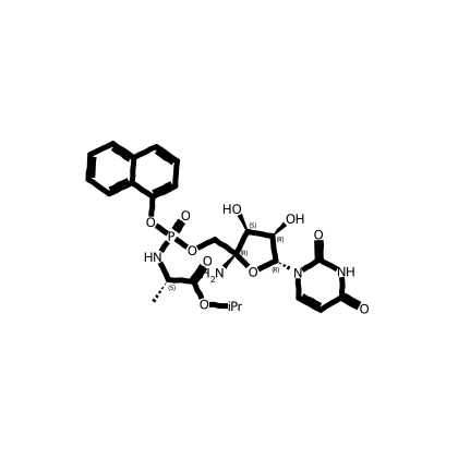 CC(C)OC(=O)[C@H](C)NP(=O)(OC[C@@]1(N)O[C@@H](n2ccc(=O)[nH]c2=O)[C@H](O)[C@@H]1O)Oc1cccc2ccccc12